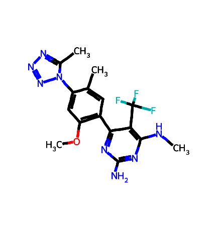 CNc1nc(N)nc(-c2cc(C)c(-n3nnnc3C)cc2OC)c1C(F)(F)F